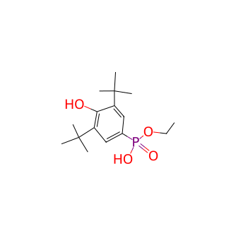 CCOP(=O)(O)c1cc(C(C)(C)C)c(O)c(C(C)(C)C)c1